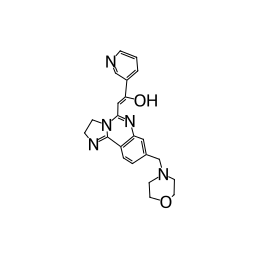 O/C(=C\C1=Nc2cc(CN3CCOCC3)ccc2C2=NCCN12)c1cccnc1